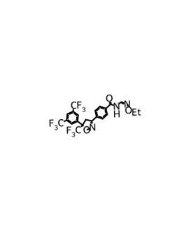 CCO/N=C\NC(=O)c1ccc(C2=NOC(c3cc(C(F)(F)F)cc(C(F)(F)F)c3)(C(F)(F)F)C2)cc1